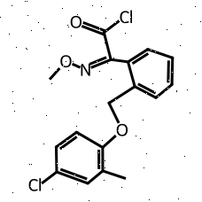 CON=C(C(=O)Cl)c1ccccc1COc1ccc(Cl)cc1C